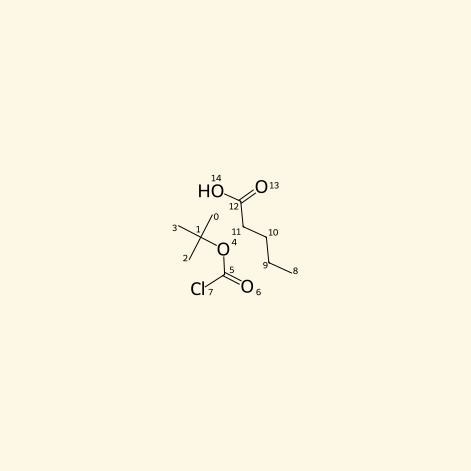 CC(C)(C)OC(=O)Cl.CCCCC(=O)O